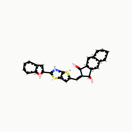 O=C1C(=Cc2cc3sc(-c4cc5ccccc5o4)nc3s2)C(=O)c2cc3ccccc3cc21